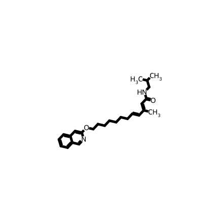 CC(C=CCCCCCCCOc1cc2ccccc2cn1)=CC(=O)NCC(C)C